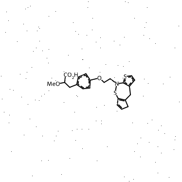 COC(Cc1ccc(OCCN2SC3=C(CC=C3)Cc3ccsc32)cc1)C(=O)O